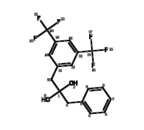 OC(O)(Cc1ccccc1)Cc1cc(C(F)(F)F)cc(C(F)(F)F)c1